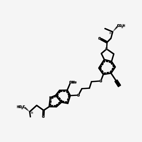 C#Cc1cc2c(cc1OCCCOc1cc3cc(C(=O)C[C@H](C)C(=O)O)sc3cc1OC)CN(C(=O)C[C@H](C)C(=O)O)C2